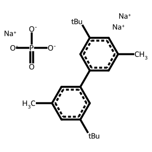 Cc1cc(-c2cc(C)cc(C(C)(C)C)c2)cc(C(C)(C)C)c1.O=P([O-])([O-])[O-].[Na+].[Na+].[Na+]